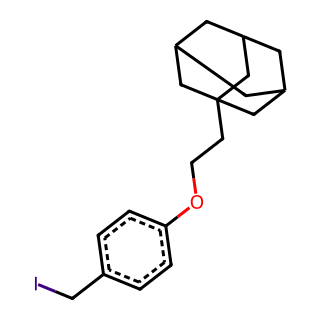 ICc1ccc(OCCC23CC4CC(CC(C4)C2)C3)cc1